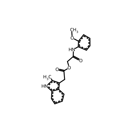 COc1ccccc1NC(=O)COC(=O)Cc1c(C)[nH]c2ccccc12